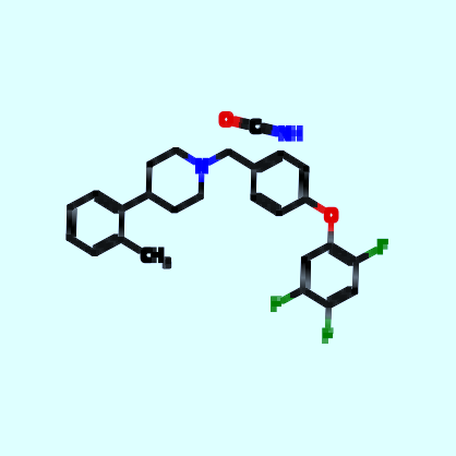 Cc1ccccc1C1CCN(Cc2ccc(Oc3cc(F)c(F)cc3F)cc2)CC1.N=C=O